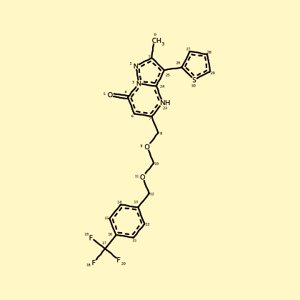 Cc1nn2c(=O)cc(COCOCc3ccc(C(F)(F)F)cc3)[nH]c2c1-c1cccs1